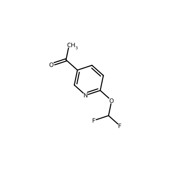 CC(=O)c1ccc(OC(F)F)nc1